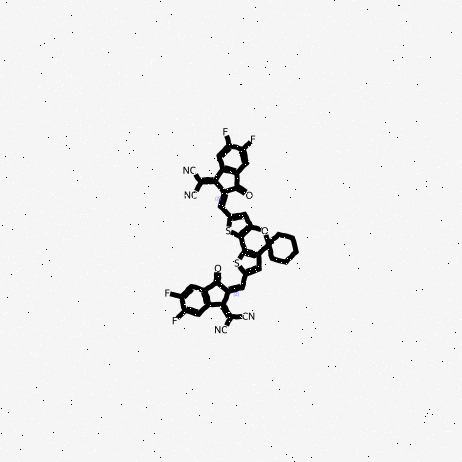 N#CC(C#N)=C1/C(=C/c2cc3c(s2)-c2sc(/C=C4\C(=O)c5cc(F)c(F)cc5C4=C(C#N)C#N)cc2C2(CCCCC2)O3)C(=O)c2cc(F)c(F)cc21